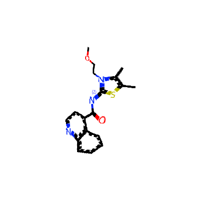 COCCn1c(C)c(C)s/c1=N\C(=O)c1ccnc2ccccc12